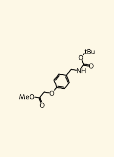 COC(=O)COc1ccc(CNC(=O)OC(C)(C)C)cc1